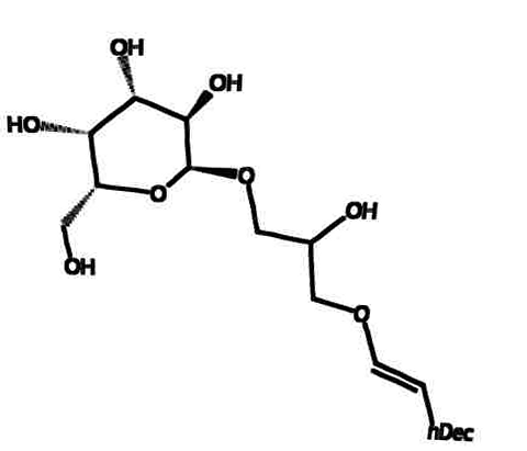 CCCCCCCCCCC=COCC(O)CO[C@H]1O[C@H](CO)[C@H](O)[C@H](O)[C@H]1O